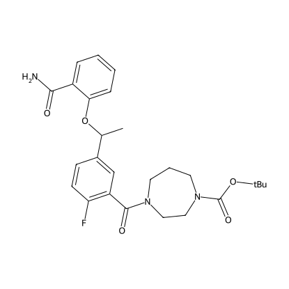 CC(Oc1ccccc1C(N)=O)c1ccc(F)c(C(=O)N2CCCN(C(=O)OC(C)(C)C)CC2)c1